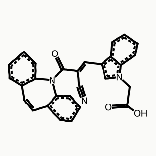 N#C/C(=C\c1cn(CC(=O)O)c2ccccc12)C(=O)N1c2ccccc2C=Cc2ccccc21